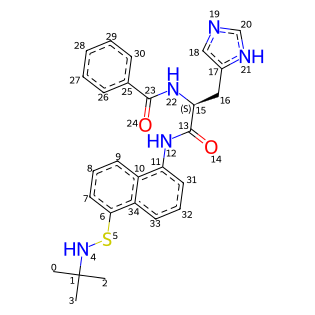 CC(C)(C)NSc1cccc2c(NC(=O)[C@H](Cc3cnc[nH]3)NC(=O)c3ccccc3)cccc12